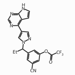 CCC(c1cc(C#N)cc(OC(=O)C(F)(F)F)c1)n1cc(-c2ncnc3[nH]ccc23)cn1